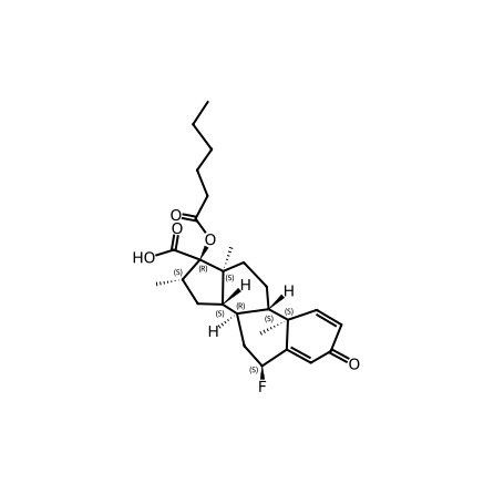 CCCCCC(=O)O[C@]1(C(=O)O)[C@@H](C)C[C@H]2[C@@H]3C[C@H](F)C4=CC(=O)C=C[C@]4(C)[C@H]3CC[C@@]21C